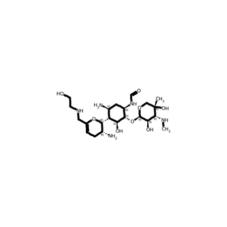 CN[C@@H]1[C@@H](O)[C@@H](O[C@H]2[C@H](NC=O)C[C@H](N)C([C@H]3OC(CNCCO)=CC[C@H]3N)[C@@H]2O)OC[C@]1(C)O